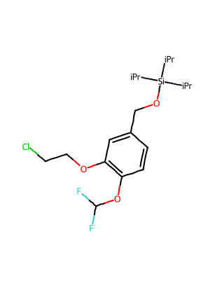 CC(C)[Si](OCc1ccc(OC(F)F)c(OCCCl)c1)(C(C)C)C(C)C